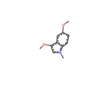 COc1ccc2c(c1)c(OC)cn2C